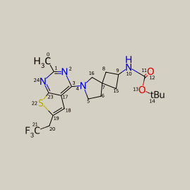 Cc1nc(N2CCC3(CC(NC(=O)OC(C)(C)C)C3)C2)c2cc(CC(F)(F)F)sc2n1